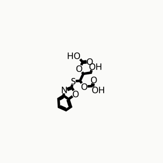 O=C(O)OC(CO)C(OC(=O)O)Sc1nc2ccccc2o1